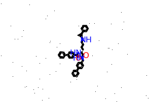 O=C(N[C@@H](CCCCNC1CC1c1ccccc1)C(=O)NCc1ccc(-c2ccccc2)cc1)c1ccc(-c2ccccc2)cc1